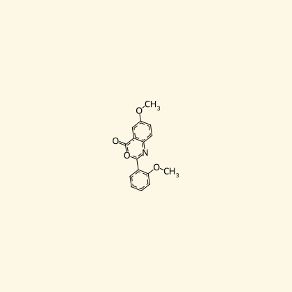 COc1ccc2nc(-c3ccccc3OC)oc(=O)c2c1